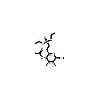 CCOP(=O)(CC[C@H]1OC(O)[C@@H](C)[C@@H](C)[C@@H]1OC(C)=O)OCC